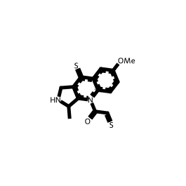 COc1ccc2c(c1)c(=S)c1c(n2C(=O)C=S)C(C)NC1